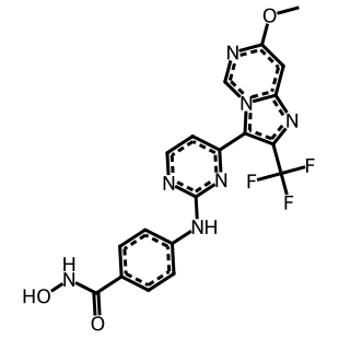 COc1cc2nc(C(F)(F)F)c(-c3ccnc(Nc4ccc(C(=O)NO)cc4)n3)n2cn1